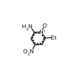 CCc1cc([N+](=O)[O-])cc(N)[n+]1[O-]